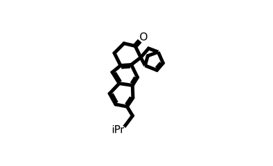 CC(C)Cc1ccc2cc3c(cc2c1)C1(CC2C=CC1C2)C(=O)CC3